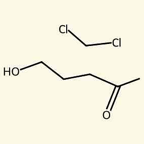 CC(=O)CCCO.ClCCl